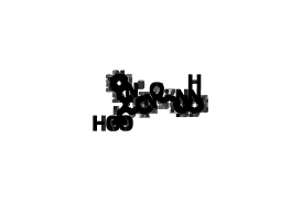 CN1CC(C(CC(=O)O)CC2CCN(C(=O)CCc3ccc4c(n3)NCCC4)CC2)Cc2ccccc21